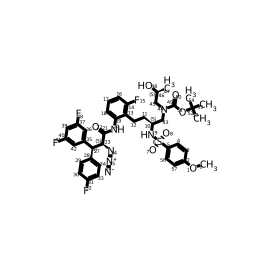 COc1ccc(S(=O)(=O)N[C@@H](CCc2c(F)cccc2NC(=O)[C@@H](N=[N+]=[N-])[C@@H](c2ccc(F)cc2)c2cc(F)cc(F)c2)CN(C[C@H](C)O)C(=O)OC(C)(C)C)cc1